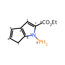 CCOC(=O)c1cc2c(n1P)CC=C2